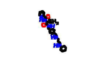 C[SiH2][C@H](NC(=O)c1ccccn1)C(=O)NCc1ccc(CNCCCNC2CCCCC2)cc1